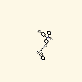 CC/C(=C(/c1ccc(O)cc1)c1ccc(OCCCCCS(=O)(=O)Cc2ccccn2)cc1)c1ccccc1